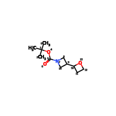 CC(C)(C)OC(=O)N1CC(C2CCO2)C1